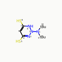 CC(C)(C)N(N1N=C(S)C=C(S)N1)C(C)(C)C